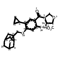 O=C(O)[C@@H]1COCN1C(=O)c1cc(C2CC2)c(OCC23CC4CC(CC2C4)C3)cc1F